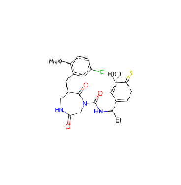 CC[C@@H](NC(=O)N1CC(=O)NC[C@@H](Cc2cc(Cl)ccc2OC)C1=O)C1=CCC(=S)C(C(=O)O)=C1